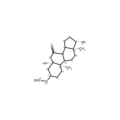 CC(C)[C@H]1CCC2C3C(=O)C[C@@H]4CC(OC=O)CC[C@]4(C)C3CC[C@@]21C